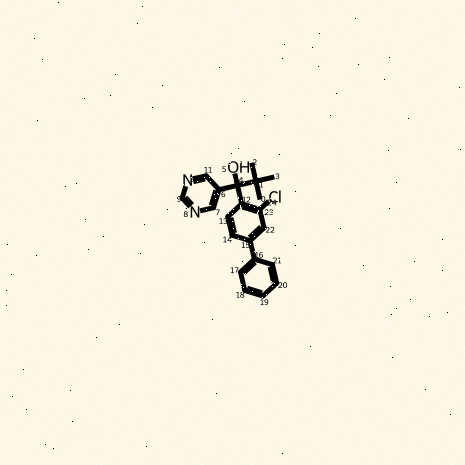 CC(C)(C)C(O)(c1cncnc1)c1ccc(-c2ccccc2)cc1Cl